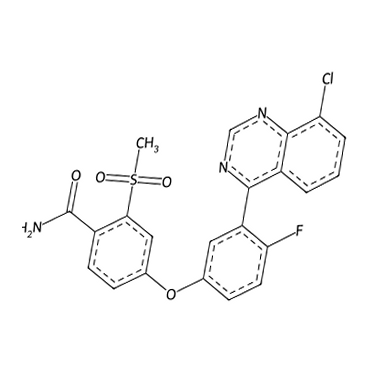 CS(=O)(=O)c1cc(Oc2ccc(F)c(-c3ncnc4c(Cl)cccc34)c2)ccc1C(N)=O